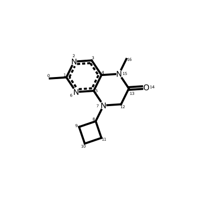 Cc1ncc2c(n1)N(C1CCC1)CC(=O)N2C